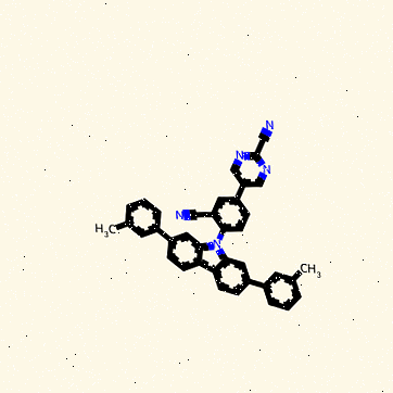 Cc1cccc(-c2ccc3c4ccc(-c5cccc(C)c5)cc4n(-c4ccc(-c5cnc(C#N)nc5)cc4C#N)c3c2)c1